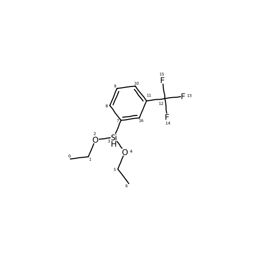 CCO[SiH](OCC)c1cccc(C(F)(F)F)c1